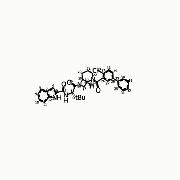 CC(C)(C)[C@H](NC(=O)c1cc2ccccc2[nH]1)C(=O)N1C[C@@H]2C1CCCN2C(=O)c1cc(-c2ccccc2)ccc1Cl